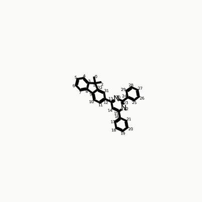 CC1(C)c2ccccc2-c2ccc(-c3cc(-c4ccccc4)nc(-c4ccccc4)n3)cc21